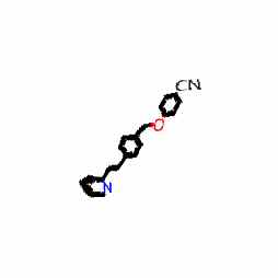 N#Cc1ccc(OCc2ccc(C=Cc3ccccn3)cc2)cc1